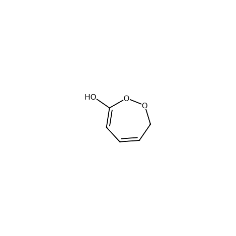 OC1=CC=CCOO1